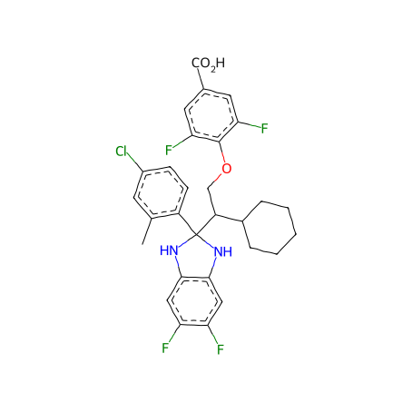 Cc1cc(Cl)ccc1C1(C(COc2c(F)cc(C(=O)O)cc2F)C2CCCCC2)Nc2cc(F)c(F)cc2N1